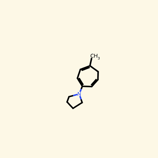 CC1=CC=C(N2CCCC2)C=CC1